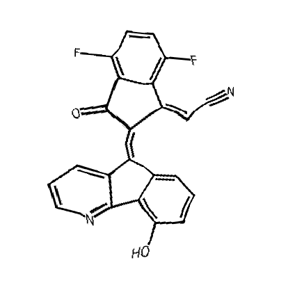 N#C/C=C1/C(=C2/c3cccnc3-c3c(O)cccc32)C(=O)c2c(F)ccc(F)c21